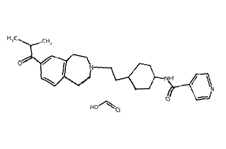 CC(C)C(=O)c1ccc2c(c1)CCN(CCC1CCC(NC(=O)c3ccncc3)CC1)CC2.O=CO